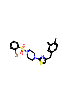 Cc1ccc(Cc2csc(N3CCN(S(=O)(=O)c4ccccc4Br)CC3)n2)cc1C